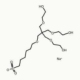 O=S(=O)([O-])CCCCCCOCC(COCCO)(COCCO)COCCO.[Na+]